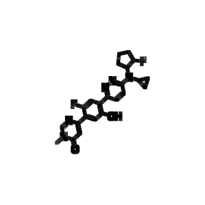 Cn1cnc(-c2cc(O)c(-c3ccc(N(C4CC4)C4CCCC4F)nn3)cc2F)cc1=O